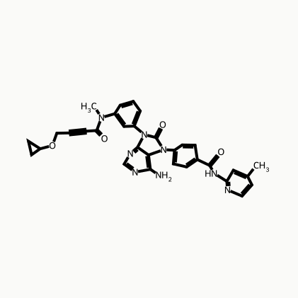 Cc1ccnc(NC(=O)c2ccc(-n3c(=O)n(-c4cccc(N(C)C(=O)C#CCOC5CC5)c4)c4ncnc(N)c43)cc2)c1